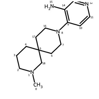 CN1CCCC2(CCN(c3ccncc3N)CC2)C1